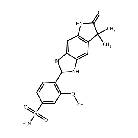 COc1cc(S(N)(=O)=O)ccc1C1Nc2cc3c(cc2N1)C(C)(C)C(=O)N3